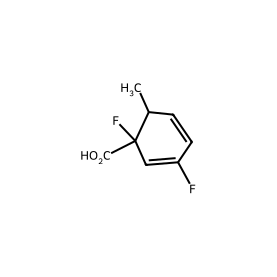 CC1C=CC(F)=CC1(F)C(=O)O